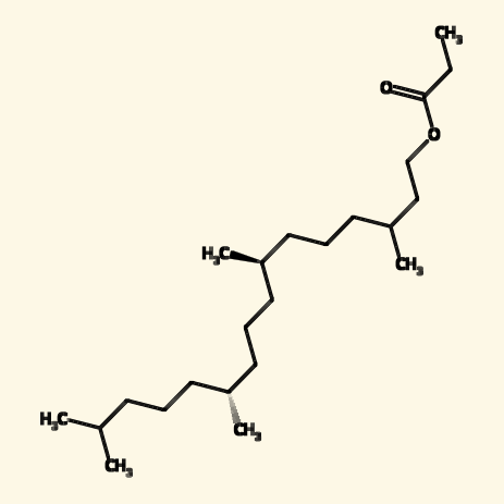 CCC(=O)OCCC(C)CCC[C@H](C)CCC[C@H](C)CCCC(C)C